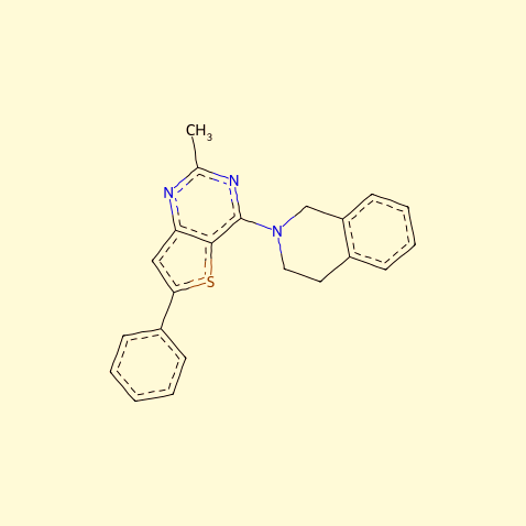 Cc1nc(N2CCc3ccccc3C2)c2sc(-c3ccccc3)cc2n1